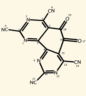 N#Cc1nc(C#N)c2c(n1)-c1nc(C#N)nc(C#N)c1C(=O)C2=O